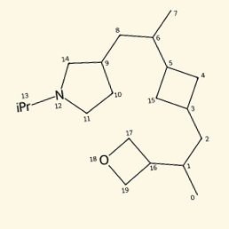 CC(CC1CC(C(C)CC2CCN(C(C)C)C2)C1)C1COC1